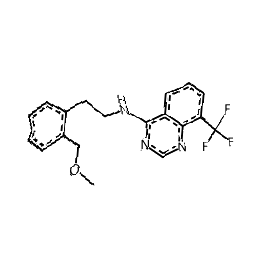 COCc1ccccc1CCNc1ncnc2c(C(F)(F)F)cccc12